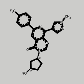 Cn1cc(-c2nc(-c3ccc(C(F)(F)F)cc3)cc3c(=O)n([C@H]4CC[C@@H](O)C4)cnc23)cn1